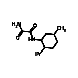 CC1CCC(C(C)C)C(NC(=O)C(N)=O)C1